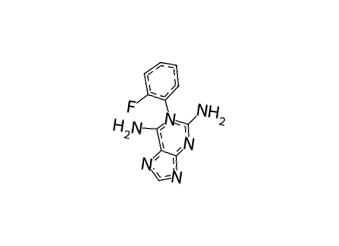 Nc1nc2ncnc-2c(N)n1-c1ccccc1F